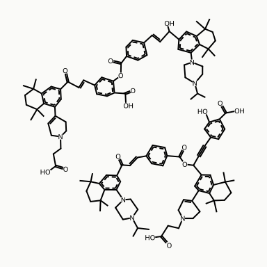 CC(C)N1CCN(c2cc(C(=O)/C=C/c3ccc(C(=O)OC(C#Cc4ccc(C(=O)O)c(O)c4)c4cc(C5=CCN(CCC(=O)O)CC5)c5c(c4)C(C)(C)CCC5(C)C)cc3)cc3c2C(C)(C)CCC3(C)C)CC1.CC(C)N1CCN(c2cc(C(O)/C=C/c3ccc(C(=O)Oc4cc(/C=C/C(=O)c5cc(C6=CCN(CCC(=O)O)CC6)c6c(c5)C(C)(C)CCC6(C)C)ccc4C(=O)O)cc3)cc3c2C(C)(C)CCC3(C)C)CC1